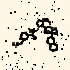 NCc1cccc(C(=O)NC[C@@H]2CCCN2C(=O)[C@H](CO)NS(=O)(=O)c2ccc3ccccc3c2)c1